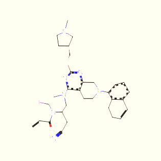 C=CC(=O)N(CI)C(CC#N)CN(C)c1nc(OC[C@H]2CCN(C)C2)nc2c1CCN(c1cccc3c1CCC=C3)C2